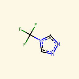 FC(F)(F)n1[c]nn[c]1